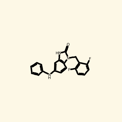 O=c1[nH]c2cc(Nc3ccccc3)ccc2n1Cc1c(F)cccc1F